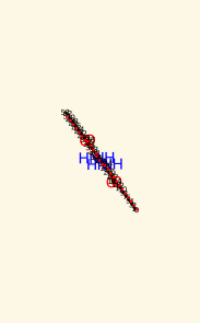 CCCCCCCCCCCCCCOC(=O)CCSCCCC(=N)NCCNC(=N)CCCSCCC(=O)OCCCCCCCCCCCCCC